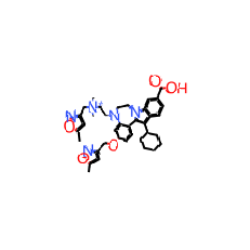 Cc1cc(COc2ccc3c(c2)N(CC[N+](C)(C)Cc2cc(C)on2)CCn2c-3c(C3CCCCC3)c3ccc(C(=O)O)cc32)no1